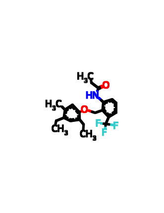 CCC(=O)Nc1cccc(C(F)(F)F)c1COc1cc(C)c(CC)cc1CC